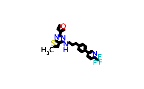 Cc1cc2c(NCCCc3ccc(-c4ccc(C(F)(F)F)nc4)cc3)nc(-c3ccoc3)nc2s1